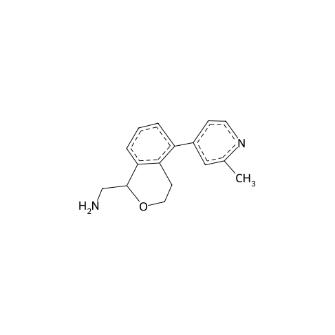 Cc1cc(-c2cccc3c2CCOC3CN)ccn1